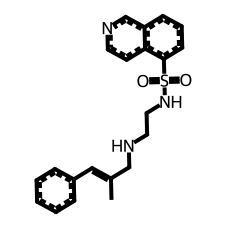 CC(=Cc1ccccc1)CNCCNS(=O)(=O)c1cccc2cnccc12